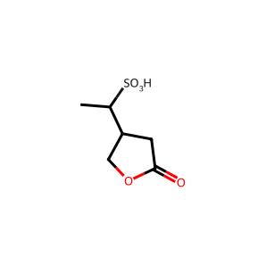 CC(C1COC(=O)C1)S(=O)(=O)O